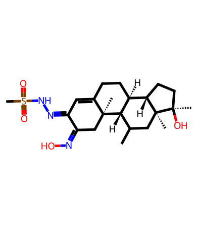 CC1C[C@@]2(C)[C@@H](CC[C@@]2(C)O)[C@@H]2CCC3=CC(=N\NS(C)(=O)=O)/C(=N\O)C[C@]3(C)[C@@H]12